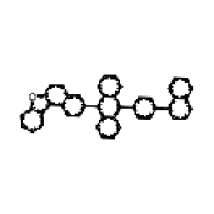 c1ccc2c(-c3ccc(-c4c5ccccc5c(-c5ccc6c(ccc7oc8ccccc8c76)c5)c5ccccc45)cc3)cccc2c1